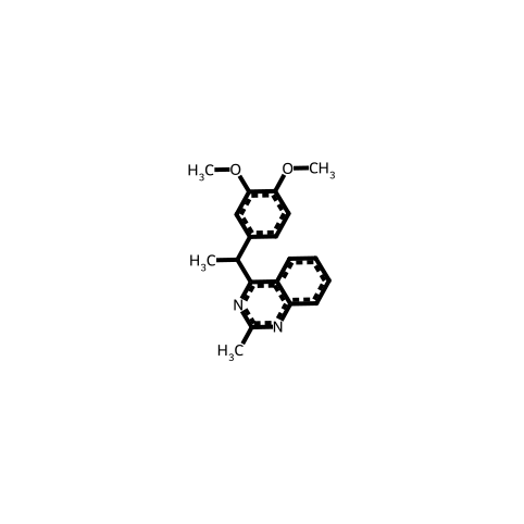 COc1ccc(C(C)c2nc(C)nc3ccccc23)cc1OC